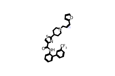 O=C(Nc1ccccc1-c1cccc(C(F)(F)F)c1)c1csc(C2CCN(C/C=C\c3ccco3)CC2)n1